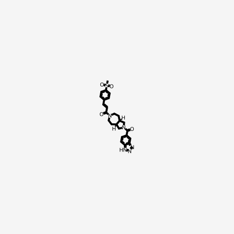 CS(=O)(=O)c1ccc(/C=C/C(=O)N2CC[C@@H]3CN(C(=O)c4ccc5[nH]nnc5c4)C[C@@H]3CC2)cc1